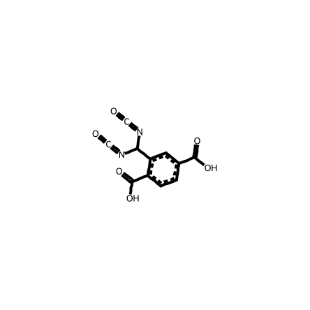 O=C=NC(N=C=O)c1cc(C(=O)O)ccc1C(=O)O